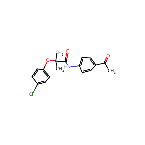 CC(=O)c1ccc(NC(=O)C(C)(C)Oc2ccc(Cl)cc2)cc1